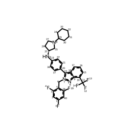 Fc1cc(F)c(Cn2nc3c(C(F)(F)F)cccc3c2-c2ccc(N[C@H]3CCN(C4CCCCC4)C3)cc2)c(F)c1